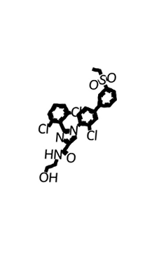 CCS(=O)(=O)c1cccc(-c2ccc(-n3cc(C(=O)NCCO)nc3-c3c(Cl)cccc3Cl)c(Cl)c2)c1